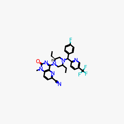 CCC1CN(c2nc(=O)n(C)c3ccc(C#N)nc23)[C@@H](CC)CN1C(c1ccc(F)cc1)c1ccc(C(F)(F)F)cn1